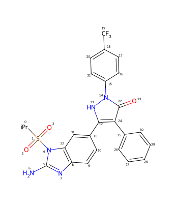 CC(C)S(=O)(=O)n1c(N)nc2ccc(-c3[nH]n(-c4ccc(C(F)(F)F)cc4)c(=O)c3-c3ccccc3)cc21